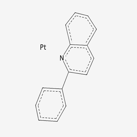 [Pt].c1ccc(-c2ccc3ccccc3n2)cc1